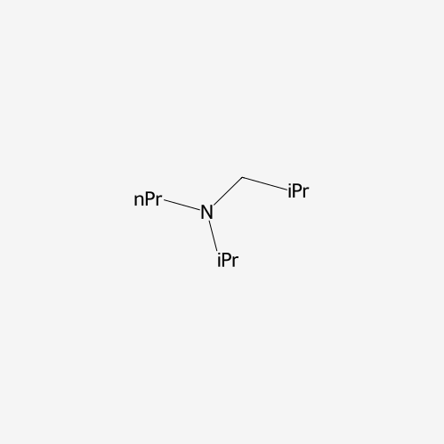 CCCN(CC(C)C)C(C)C